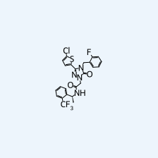 C[C@H](NC(=O)Cn1nc(-c2ccc(Cl)s2)n(Cc2ccccc2F)c1=O)c1ccccc1C(F)(F)F